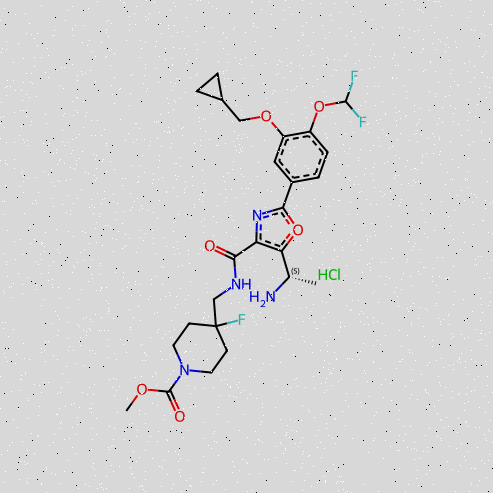 COC(=O)N1CCC(F)(CNC(=O)c2nc(-c3ccc(OC(F)F)c(OCC4CC4)c3)oc2[C@H](C)N)CC1.Cl